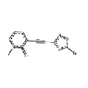 Cn1cccc(C#Cc2ncc(Br)s2)c1=O